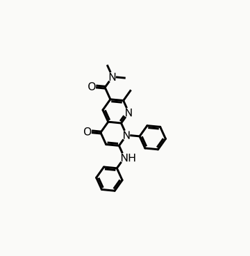 Cc1nc2c(cc1C(=O)N(C)C)c(=O)cc(Nc1ccccc1)n2-c1ccccc1